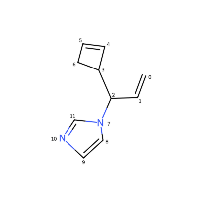 C=CC(C1C=CC1)n1ccnc1